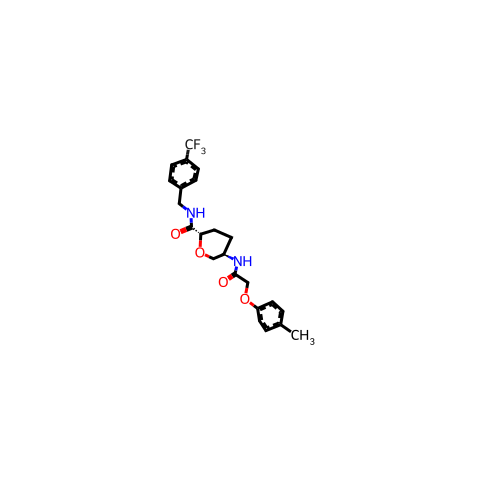 Cc1ccc(OCC(=O)N[C@@H]2CC[C@@H](C(=O)NCc3ccc(C(F)(F)F)cc3)OC2)cc1